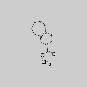 COC(=O)c1ccc2c(c1)CCCC=C2